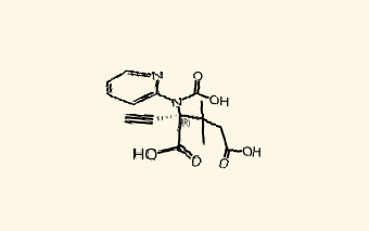 C#C[C@](C(=O)O)(N(C(=O)O)c1ccccn1)C(C)(C)CC(=O)O